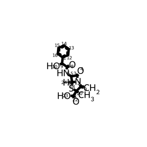 C=C1N2C(=O)C(NC(=O)C(O)c3ccccc3)[C@H]2SC1(C)C(=O)O